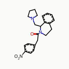 O=C(Cc1ccc([N+](=O)[O-])cc1)N1CCc2ccccc2C1CN1CCCC1